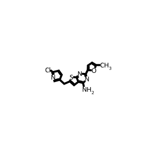 Cc1ccc(-c2nc(N)c3cc(Cc4ccc(Cl)nc4)sc3n2)o1